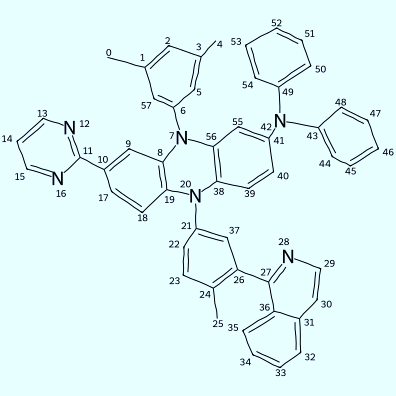 Cc1cc(C)cc(N2c3cc(-c4ncccn4)ccc3N(c3ccc(C)c(-c4nccc5ccccc45)c3)c3ccc(N(c4ccccc4)c4ccccc4)cc32)c1